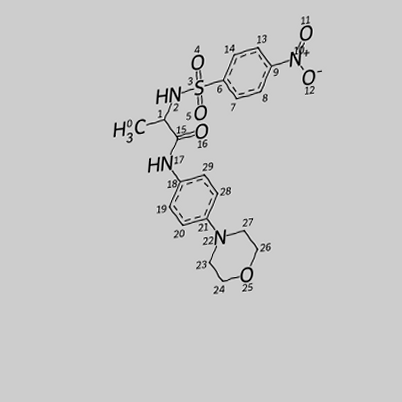 CC(NS(=O)(=O)c1ccc([N+](=O)[O-])cc1)C(=O)Nc1ccc(N2CCOCC2)cc1